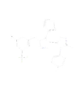 Cc1ccc(-n2c(C)nnc2-c2nnn(Cc3cc(C(F)(F)F)cc(C(F)(F)F)c3)c2-c2ccccc2)cc1